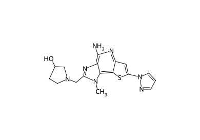 Cn1c(CN2CCC(O)C2)nc2c(N)nc3cc(-n4cccn4)sc3c21